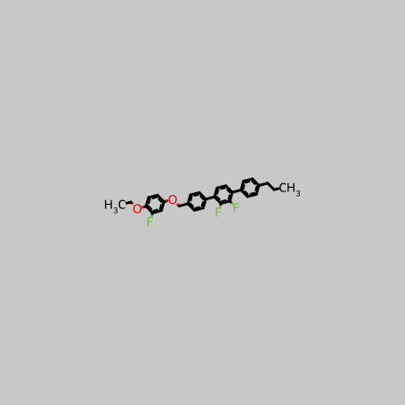 CCCc1ccc(-c2ccc(-c3ccc(COc4ccc(OCC)c(F)c4)cc3)c(F)c2F)cc1